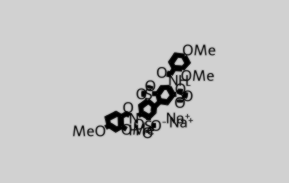 COc1ccc(C(=O)Nc2cc3c(cc2S(=O)(=O)[O-])-c2cc(S(=O)(=O)[O-])c(NC(=O)c4ccc(OC)cc4OC)cc2S3(=O)=O)c(OC)c1.[Na+].[Na+]